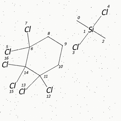 C[Si](C)(Cl)Cl.ClC1(Cl)CCCC(Cl)(Cl)C1(Cl)Cl